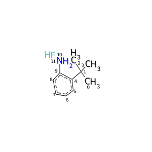 CC(C)(C)c1ccccc1N.F